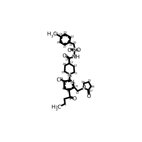 CCCC(=O)c1cc(Cl)c(N2CCC(C(=O)NS(=O)(=O)Cc3ccc(C)cc3)CC2)nc1CN1CCCC1=O